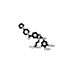 COc1cc(Nc2nc3ccc(C(=O)N4CCC(N5CCCC5)CC4)cc3n2CCCN)cc(OC)c1OC